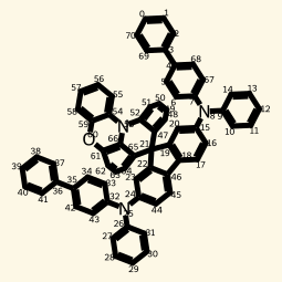 c1ccc(-c2ccc(N(c3ccccc3)c3ccc4c(c3)C3(c5cc(N(c6ccccc6)c6ccc(-c7ccccc7)cc6)ccc5-4)c4ccccc4N4c5ccccc5Oc5cccc3c54)cc2)cc1